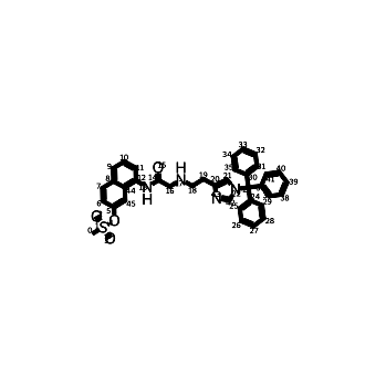 CS(=O)(=O)Oc1ccc2cccc(NC(=O)CNCCc3cn(C(c4ccccc4)(c4ccccc4)c4ccccc4)cn3)c2c1